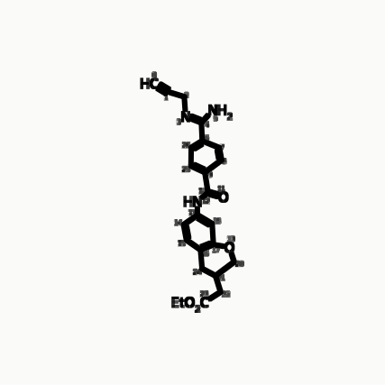 C#CCN=C(N)c1ccc(C(=O)Nc2ccc3c(c2)OCC(CC(=O)OCC)C3)cc1